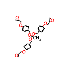 CC(OCc1ccc(OCC2CO2)cc1)(OCc1ccc(OCC2CO2)cc1)OCc1ccc(OCC2CO2)cc1